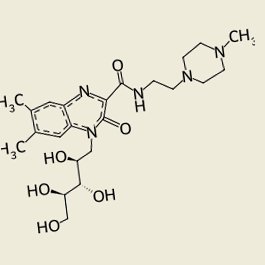 Cc1cc2nc(C(=O)NCCN3CCN(C)CC3)c(=O)n(C[C@H](O)[C@H](O)[C@H](O)CO)c2cc1C